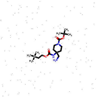 CC(C)(C)OC(=O)N1CCC(CN)(NC(=O)OCC[Si](C)(C)C)CC1